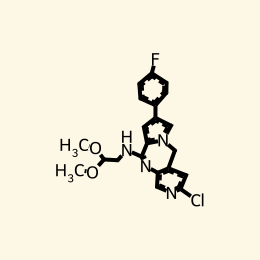 COC(CNC1=Nc2cnc(Cl)cc2Cn2cc(-c3ccc(F)cc3)cc21)OC